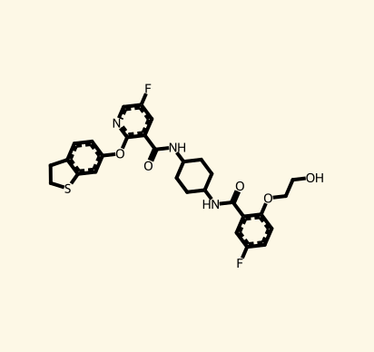 O=C(NC1CCC(NC(=O)c2cc(F)cnc2Oc2ccc3c(c2)SCC3)CC1)c1cc(F)ccc1OCCO